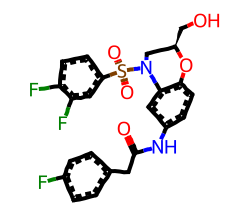 O=C(Cc1ccc(F)cc1)Nc1ccc2c(c1)N(S(=O)(=O)c1ccc(F)c(F)c1)C[C@@H](CO)O2